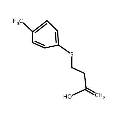 C=C(O)CCSc1ccc(C)cc1